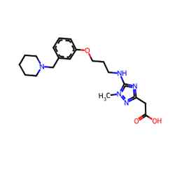 Cn1nc(CC(=O)O)nc1NCCCOc1cccc(CN2CCCCC2)c1